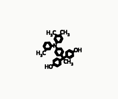 Cc1cccc(N(c2ccc(C(C)(c3ccc(O)cc3)c3ccc(O)cc3)cc2)c2ccc(C)c(C)c2)c1